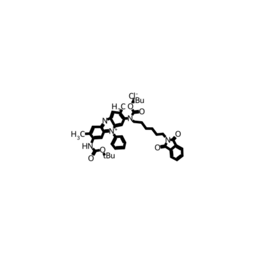 Cc1cc2nc3cc(C)c(N(CCCCCCN4C(=O)c5ccccc5C4=O)C(=O)OC(C)(C)C)cc3[n+](-c3ccccc3)c2cc1NC(=O)OC(C)(C)C.[Cl-]